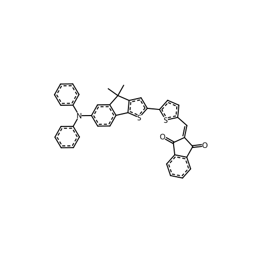 CC1(C)c2cc(N(c3ccccc3)c3ccccc3)ccc2-c2sc(-c3ccc(C=C4C(=O)c5ccccc5C4=O)s3)cc21